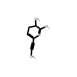 CC#CC1=CCC(C)C(C(F)(F)F)=N1